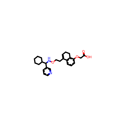 O=C(O)COc1cccc2c1CCC=C2CCONC(c1cccnc1)C1CCCCC1